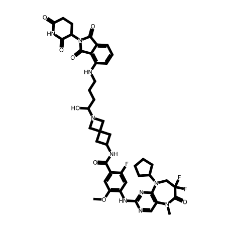 COc1cc(C(=O)NC2CC3(C2)CN(C(O)CCCNc2cccc4c2C(=O)N(C2CCC(=O)NC2=O)C4=O)C3)c(F)cc1Nc1ncc2c(n1)N(C1CCCC1)CC(F)(F)C(=O)N2C